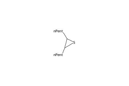 CCCCCC1SC1CCCCC